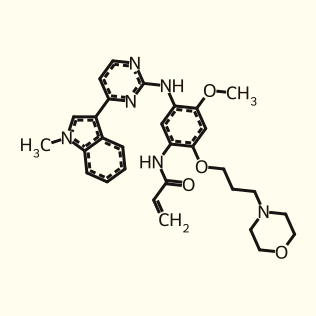 C=CC(=O)Nc1cc(Nc2nccc(-c3cn(C)c4ccccc34)n2)c(OC)cc1OCCCN1CCOCC1